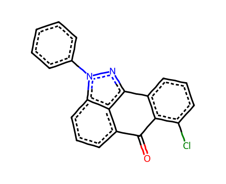 O=C1c2c(Cl)cccc2-c2nn(-c3ccccc3)c3cccc1c23